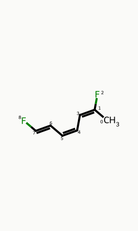 C\C(F)=C/C=C\C=C\F